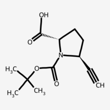 C#C[C@@H]1CC[C@@H](C(=O)O)N1C(=O)OC(C)(C)C